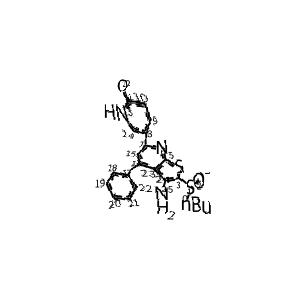 CCCC[S+]([O-])c1sc2nc(-c3ccc(=O)[nH]c3)cc(-c3ccccc3)c2c1N